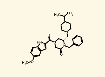 COc1ccc2[nH]c(C(=O)N3CC(=O)N(Cc4ccccc4)[C@@H](CN4CCC(C(C)C)CC4)C3)cc2c1